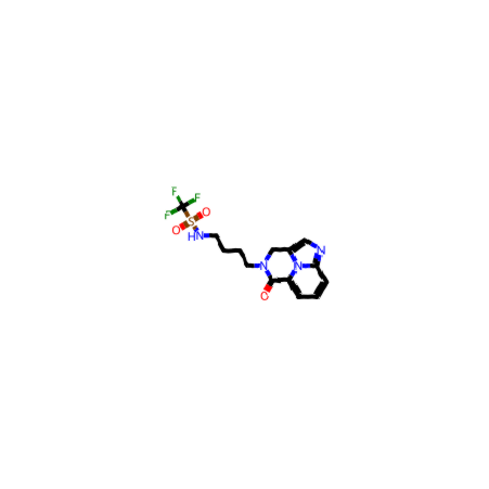 O=C1c2cccc3ncc(n23)CN1CCCCNS(=O)(=O)C(F)(F)F